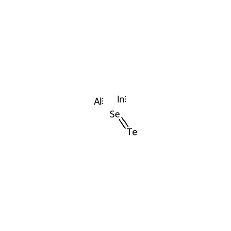 [Al].[In].[Se]=[Te]